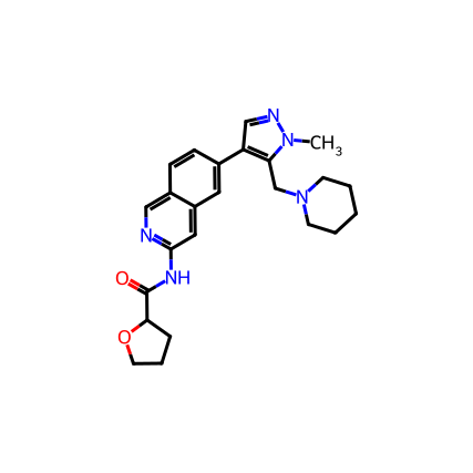 Cn1ncc(-c2ccc3cnc(NC(=O)C4CCCO4)cc3c2)c1CN1CCCCC1